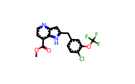 COC(=O)c1ccnc2cc(Cc3ccc(Cl)c(OC(F)(F)F)c3)[nH]c12